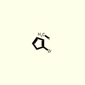 CI.[Zr][C]1=CC=CC1